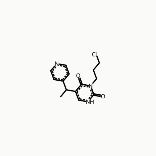 CC(c1ccncc1)c1c[nH]c(=O)n(CCCCl)c1=O